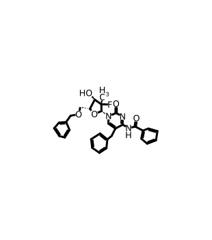 C[C@]1(F)[C@H](O)[C@@H](COCc2ccccc2)O[C@H]1n1cc(Cc2ccccc2)c(NC(=O)c2ccccc2)nc1=O